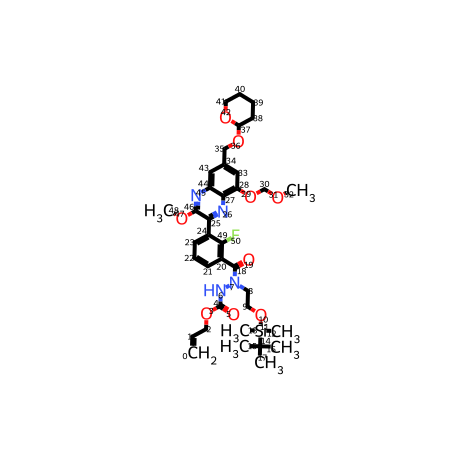 C=CCOC(=O)NN(CCO[Si](C)(C)C(C)(C)C)C(=O)c1cccc(-c2nc3c(OCOC)cc(COC4CCCCO4)cc3nc2OC)c1F